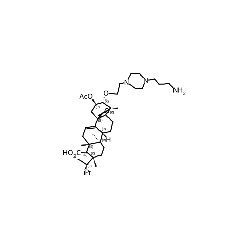 CC(=O)O[C@@H]1C[C@@]23CCOC[C@@](C)(C2CC[C@H]2C3=CC[C@@]3(C)[C@H](C(=O)O)[C@@](C)([C@H](C)C(C)C)CC[C@]23C)[C@H]1OCCN1CCN(CCCN)CC1